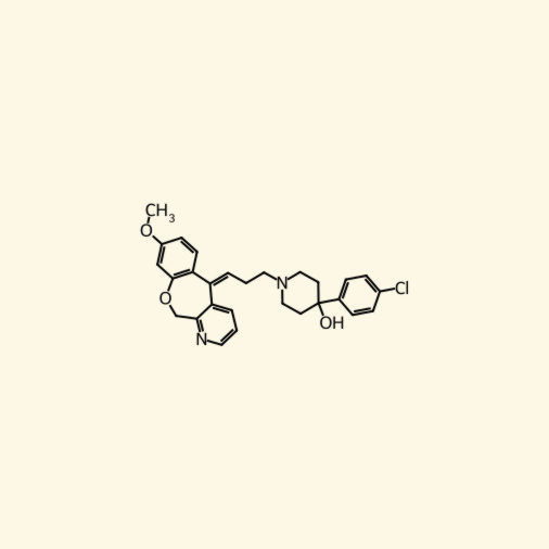 COc1ccc2c(c1)OCc1ncccc1C2=CCCN1CCC(O)(c2ccc(Cl)cc2)CC1